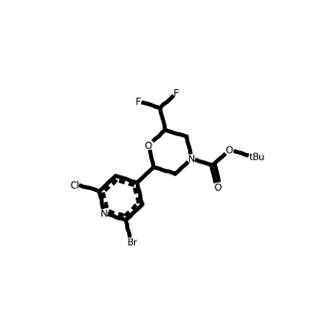 CC(C)(C)OC(=O)N1CC(c2cc(Cl)nc(Br)c2)OC(C(F)F)C1